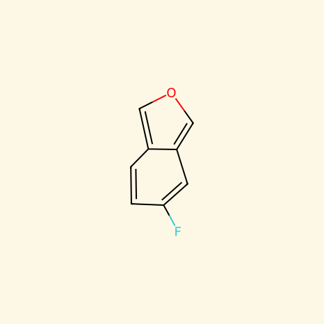 Fc1ccc2cocc2c1